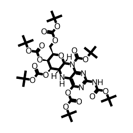 CC(C)(C)OC(=O)Nc1nc(OC(=O)OC(C)(C)C)c2c(n1)N(C(=O)OC(C)(C)C)[C@@H]1O[C@H](COC(=O)OC(C)(C)C)[C@H](OC(=O)OC(C)(C)C)[C@H](OC(=O)OC(C)(C)C)[C@@H]1N2